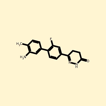 Cc1ccc(-c2ccc(C3=NNC(=O)CC3)cc2F)cc1N